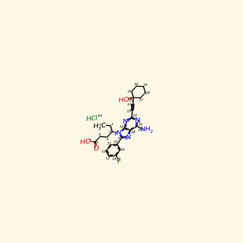 CCC(CCC(=O)O)n1c(-c2cccc(F)c2)nc2c(N)nc(C#CC3(O)CCCCC3)nc21.Cl